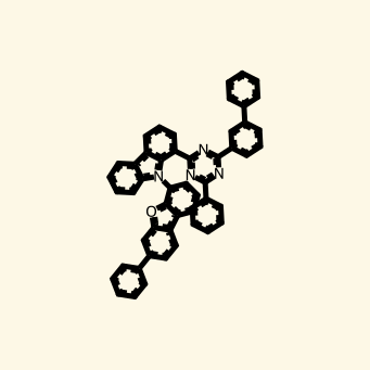 c1ccc(-c2cccc(-c3nc(-c4ccccc4)nc(-c4cccc5c6ccccc6n(-c6cccc7c6oc6cc(-c8ccccc8)ccc67)c45)n3)c2)cc1